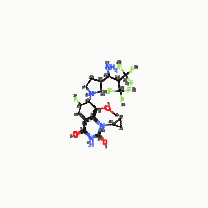 COC1=c2c(c(=O)[nH]c(=O)n2C2CC2)=CC(F)C1N1CCC(C(N)C(C(F)(F)F)C(F)(F)F)C1